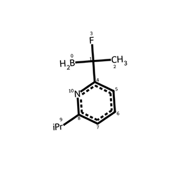 BC(C)(F)c1cccc(C(C)C)n1